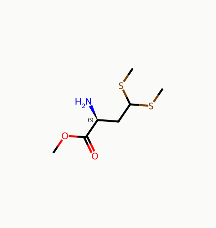 COC(=O)[C@@H](N)CC(SC)SC